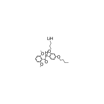 CCCCOc1ccc(PC(=O)c2c(OC)cccc2OC)c(OCCCC)c1.[LiH]